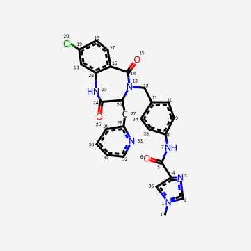 Cn1cnc(C(=O)Nc2ccc(CN3C(=O)c4ccc(Cl)cc4NC(=O)C3Cc3ccccn3)cc2)c1